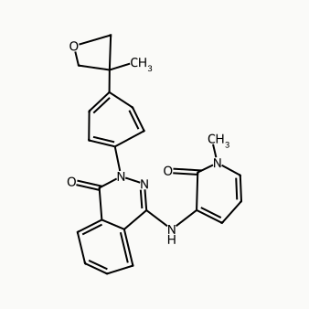 Cn1cccc(Nc2nn(-c3ccc(C4(C)COC4)cc3)c(=O)c3ccccc23)c1=O